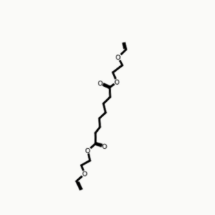 C=COCCOC(=O)CCCCCCC(=O)OCCOC=C